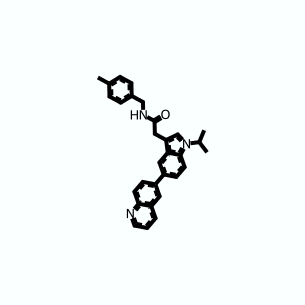 Cc1ccc(CNC(=O)Cc2cn(C(C)C)c3ccc(-c4ccc5ncccc5c4)cc23)cc1